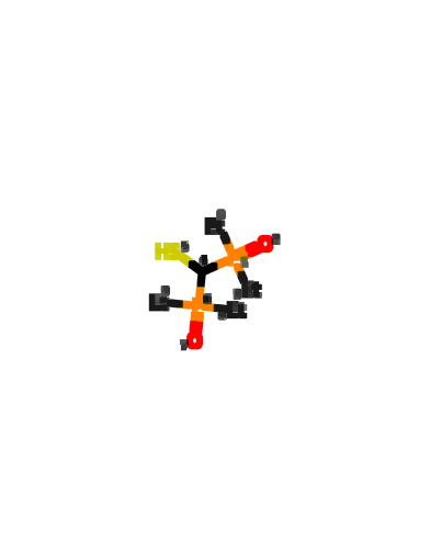 CCP(=O)(CC)C(S)P(=O)(CC)CC